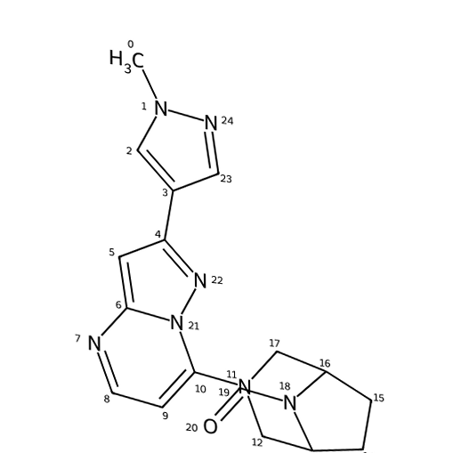 Cn1cc(-c2cc3nccc(N4CC5CCC(C4)N5C=O)n3n2)cn1